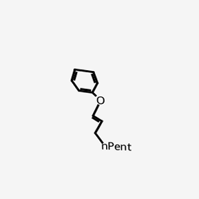 CCCCCCC=COc1ccccc1